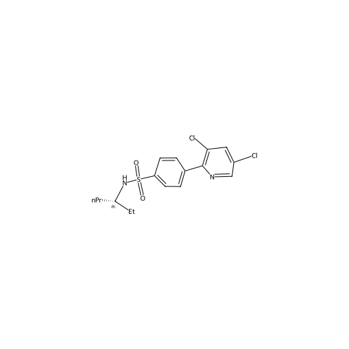 CCC[C@@H](CC)NS(=O)(=O)c1ccc(-c2ncc(Cl)cc2Cl)cc1